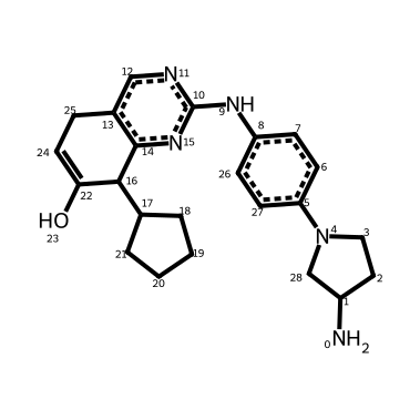 NC1CCN(c2ccc(Nc3ncc4c(n3)C(C3CCCC3)C(O)=CC4)cc2)C1